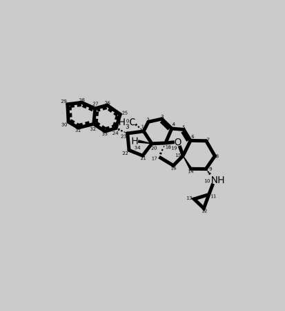 C[C@]12CC=C3C=C4CC[C@H](NC5CC5)C[C@]45CC[C@]3(O5)[C@@H]1CC[C@@H]2c1ccc2ccccc2c1